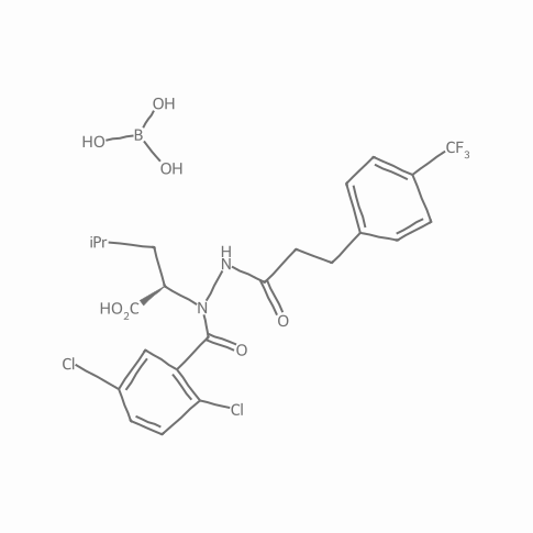 CC(C)C[C@H](C(=O)O)N(NC(=O)CCc1ccc(C(F)(F)F)cc1)C(=O)c1cc(Cl)ccc1Cl.OB(O)O